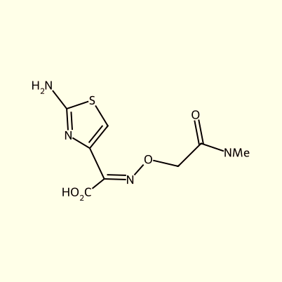 CNC(=O)CO/N=C(/C(=O)O)c1csc(N)n1